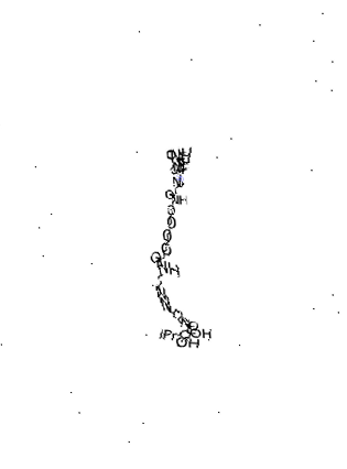 CC(C)c1cc(C(=O)N2Cc3ccc(CN4CCN(CCCCCNC(=O)CCOCCOCCOCCOCCNC(=O)CCC5=N/C(=C\c6ccc(-c7ccc[nH]7)n6B(F)F)C=C5)CC4)cc3C2)c(O)cc1O